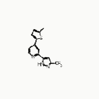 Cc1ccc(-c2ccnc(-c3cc(C(F)(F)F)n[nH]3)c2)s1